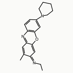 CCN=c1cc2oc3cc(N4CCCCC4)ccc3nc-2cc1C